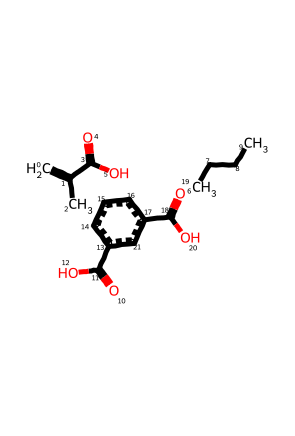 C=C(C)C(=O)O.CCCC.O=C(O)c1cccc(C(=O)O)c1